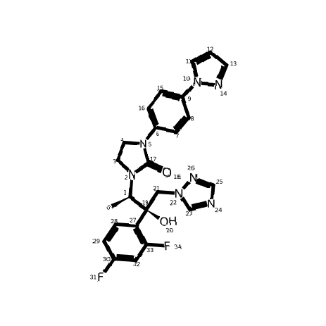 C[C@@H](N1CCN(c2ccc(-n3cccn3)cc2)C1=O)[C@](O)(Cn1cncn1)c1ccc(F)cc1F